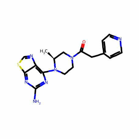 C[C@H]1CN(C(=O)Cc2ccncc2)CCN1c1nc(N)nc2scnc12